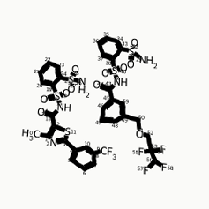 Cc1nc(-c2cccc(C(F)(F)F)c2)sc1C(=O)NS(=O)(=O)c1ccccc1S(N)(=O)=O.NS(=O)(=O)c1ccccc1S(=O)(=O)NC(=O)c1cccc(COCC(F)(F)C(F)F)c1